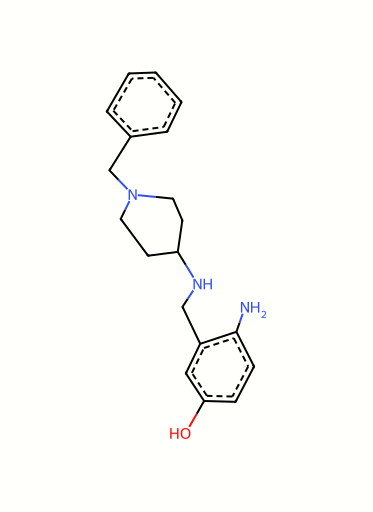 Nc1ccc(O)cc1CNC1CCN(Cc2ccccc2)CC1